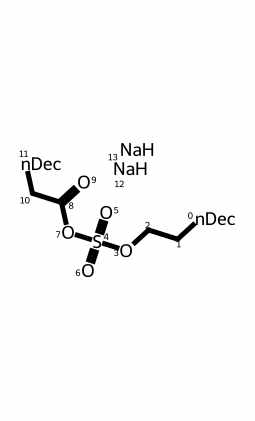 CCCCCCCCCCCCOS(=O)(=O)OC(=O)CCCCCCCCCCC.[NaH].[NaH]